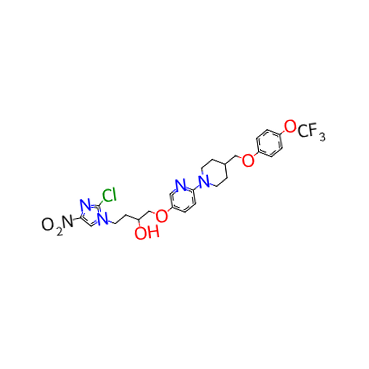 O=[N+]([O-])c1cn(CCC(O)COc2ccc(N3CCC(COc4ccc(OC(F)(F)F)cc4)CC3)nc2)c(Cl)n1